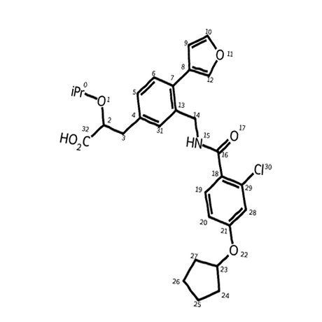 CC(C)OC(Cc1ccc(-c2ccoc2)c(CNC(=O)c2ccc(OC3CCCC3)cc2Cl)c1)C(=O)O